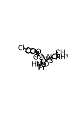 CC(C)NC(=O)C1CN(S(=O)(=O)c2ccc3cc(Cl)ccc3c2)CCN1C(=O)c1nc2c(s1)CNC(C)C2